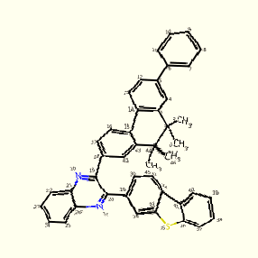 CC1(C)c2cc(-c3ccccc3)ccc2-c2ccc(-c3nc4ccccc4nc3-c3ccc4c(c3)sc3ccccc34)cc2C1(C)C